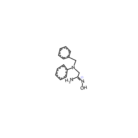 N/C(CN(Cc1ccccc1)c1ccccc1)=N\O